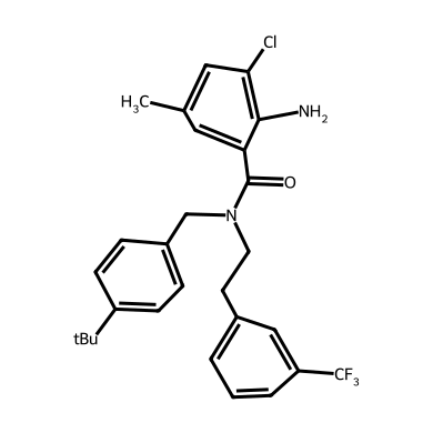 Cc1cc(Cl)c(N)c(C(=O)N(CCc2cccc(C(F)(F)F)c2)Cc2ccc(C(C)(C)C)cc2)c1